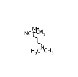 CN(C)CCCCC(C)(N)C#N